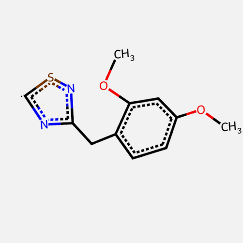 COc1ccc(Cc2n[c]sn2)c(OC)c1